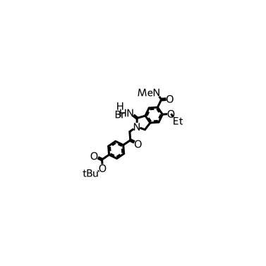 Br.CCOc1cc2c(cc1C(=O)NC)C(=N)N(CC(=O)c1ccc(C(=O)OC(C)(C)C)cc1)C2